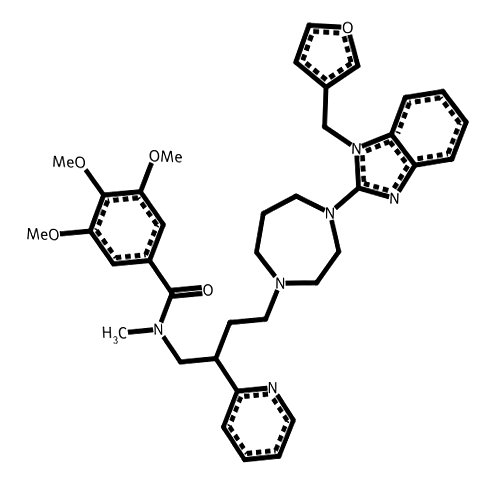 COc1cc(C(=O)N(C)CC(CCN2CCCN(c3nc4ccccc4n3Cc3ccoc3)CC2)c2ccccn2)cc(OC)c1OC